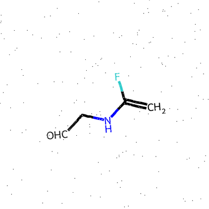 C=C(F)NCC=O